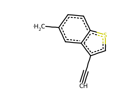 C#Cc1csc2ccc([CH2])cc12